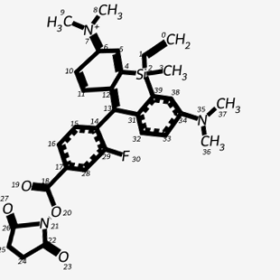 C=C[Si]1(C)C2=CC(=[N+](C)C)C=CC2=C(c2ccc(C(=O)ON3C(=O)CCC3=O)cc2F)c2ccc(N(C)C)cc21